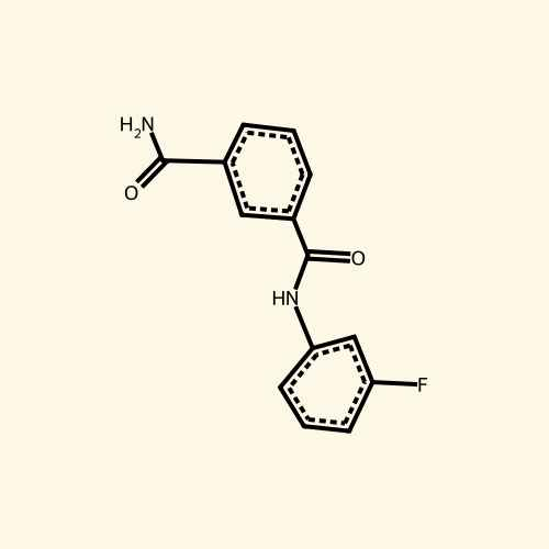 NC(=O)c1cccc(C(=O)Nc2cccc(F)c2)c1